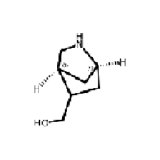 OCC1C[C@H]2C[C@@H]1CN2